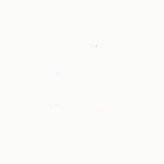 O=C1CC=Nc2ncc(Br)cc21